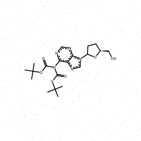 CC(C)(C)OC(=O)N(C(=O)OC(C)(C)C)c1ncnc2c1ncn2C1CC[C@@H](CO)O1